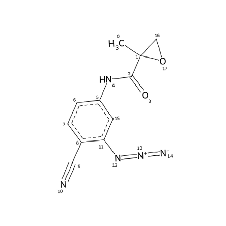 CC1(C(=O)Nc2ccc(C#N)c(N=[N+]=[N-])c2)CO1